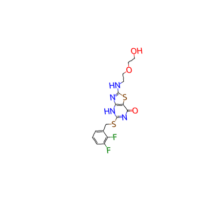 O=c1nc(SCc2cccc(F)c2F)[nH]c2nc(NCCOCCO)sc12